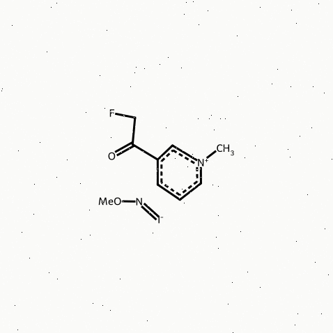 CON=[I-].C[n+]1cccc(C(=O)CF)c1